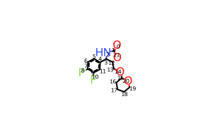 O=C1NC(c2ccc(F)c(F)c2)C(COC2CCCCO2)O1